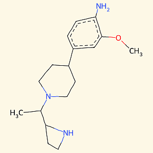 COc1cc(C2CCN(C(C)C3CCN3)CC2)ccc1N